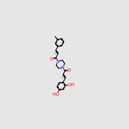 Cc1cccc(/C=C/C(=O)N2CCN(C(=O)/C=C/c3ccc(O)cc3O)CC2)c1